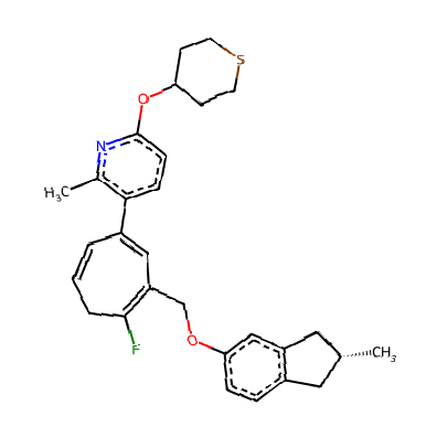 Cc1nc(OC2CCSCC2)ccc1C1=CC(COc2ccc3c(c2)C[C@H](C)C3)=C(F)CC=C1